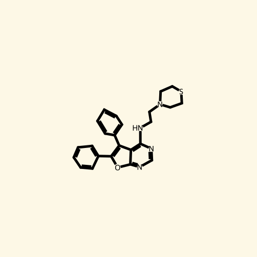 c1ccc(-c2oc3ncnc(NCCN4CCSCC4)c3c2-c2ccccc2)cc1